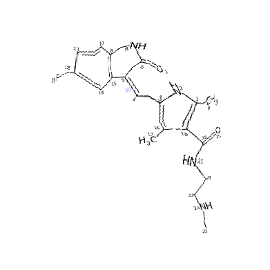 Cc1[nH]c(/C=C2\C(=O)Nc3ccc(F)cc32)c(C)c1C(=O)NCCNI